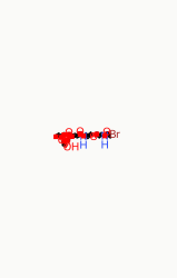 CCC(COC(=O)CCCC(=O)NCCCOCCCNC(=O)CBr)OC(CO)OC